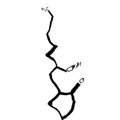 CCCCCC(O)CC1CCCC1=O